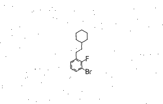 Fc1c(Br)cccc1CCC1CCCCC1